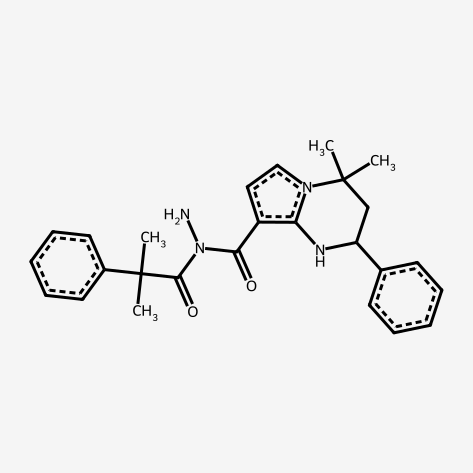 CC(C)(C(=O)N(N)C(=O)c1ccn2c1NC(c1ccccc1)CC2(C)C)c1ccccc1